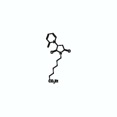 C=C1C=CC=CN1C1CC(=O)N(CCCCCCC(=O)OCC)C1=O